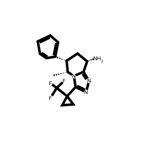 C[C@@H]1[C@H](c2ccccc2)C[C@H](N)c2nnc(C3(C(F)(F)F)CC3)n21